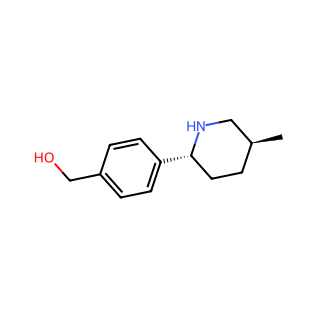 C[C@H]1CC[C@H](c2ccc(CO)cc2)NC1